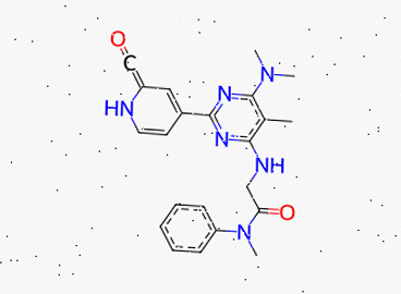 Cc1c(NCC(=O)N(C)c2ccccc2)nc(C2=CC(=C=O)NC=C2)nc1N(C)C